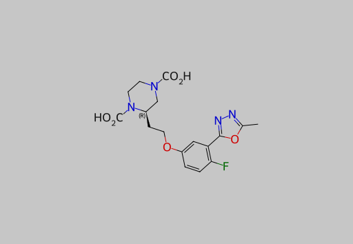 Cc1nnc(-c2cc(OCC[C@@H]3CN(C(=O)O)CCN3C(=O)O)ccc2F)o1